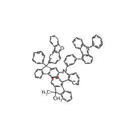 CC1(C)c2ccccc2-c2c(-c3ccccc3N(c3cccc(-c4cccc5c4c4ccccc4n5-c4ccccc4)c3)c3ccc4c(c3)C(c3ccccc3)(c3ccc5oc6ccccc6c5c3)c3ccccc3-4)cccc21